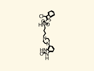 O=c1[nH]c2cccc(N3CCN(CCCCNS(=O)(=O)c4sc5ccccc5c4Cl)CC3)c2[nH]1